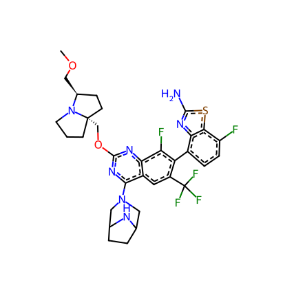 COC[C@H]1CC[C@@]2(COc3nc(N4CC5CCC(C4)N5)c4cc(C(F)(F)F)c(-c5ccc(F)c6sc(N)nc56)c(F)c4n3)CCCN12